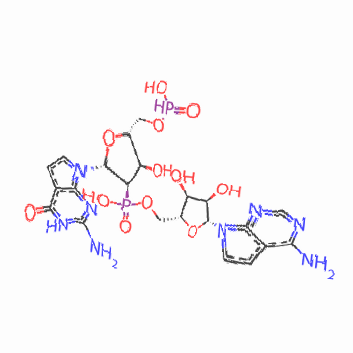 Nc1nc2c(ccn2[C@@H]2O[C@H](CO[PH](=O)O)[C@@H](O)[C@H]2P(=O)(O)OC[C@H]2O[C@@H](n3ccc4c(N)ncnc43)[C@H](O)[C@@H]2O)c(=O)[nH]1